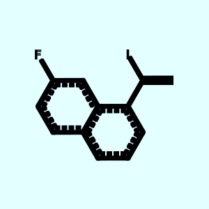 C=C(I)c1cccc2ccc(F)cc12